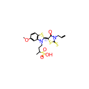 C=CCN1C(=O)/C(=C2\Sc3ccc(OC)cc3N2CCC(C)S(=O)(=O)O)SC1=S